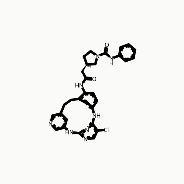 O=C(C[C@H]1CCN(C(=O)Nc2ccccc2)C1)Nc1ccc2cc1CCc1cncc(c1)Nc1ncc(Cl)c(n1)N2